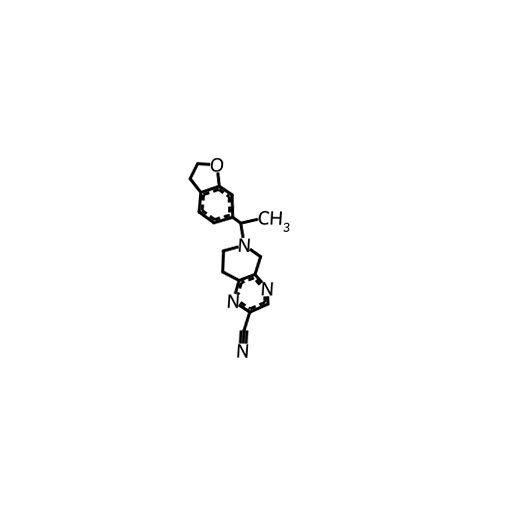 CC(c1ccc2c(c1)OCC2)N1CCc2nc(C#N)cnc2C1